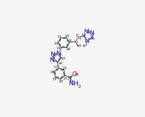 C[C@H](Sc1nncn1C)c1cccc(-n2cc(-c3cccc(C(N)=O)c3)nn2)c1